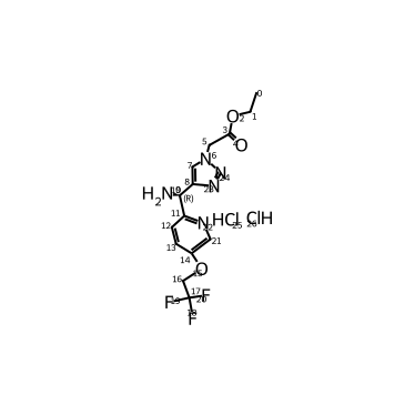 CCOC(=O)Cn1cc([C@H](N)c2ccc(OCC(F)(F)F)cn2)nn1.Cl.Cl